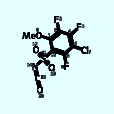 COc1c(F)c(F)c(Cl)c(F)c1S(=O)(=O)N=C=O